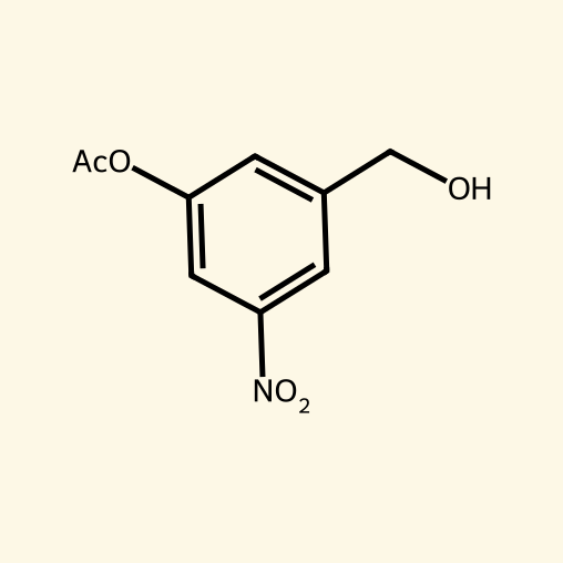 CC(=O)Oc1cc(CO)cc([N+](=O)[O-])c1